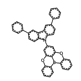 c1ccc(-c2ccc3c(c2)c2cc(-c4ccccc4)ccc2n3-c2cc3c4c(c2)Oc2ccccc2B4c2ccccc2O3)cc1